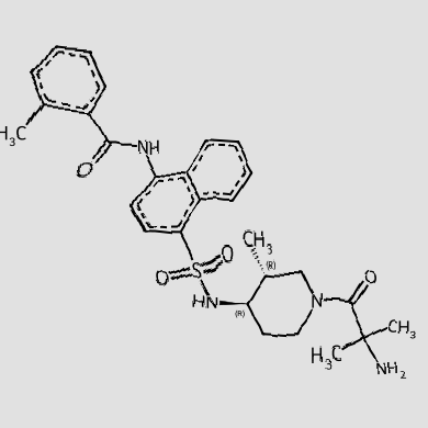 Cc1ccccc1C(=O)Nc1ccc(S(=O)(=O)N[C@@H]2CCN(C(=O)C(C)(C)N)C[C@H]2C)c2ccccc12